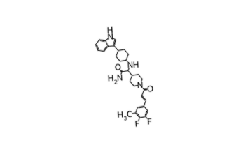 Cc1cc(/C=C/C(=O)N2CCC(C(NC3CCC(c4c[nH]c5ccccc45)CC3)C(N)=O)CC2)cc(F)c1F